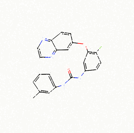 O=C(Nc1cccc(C(F)(F)F)c1)Nc1ccc(F)c(Oc2ccc3nccnc3c2)c1